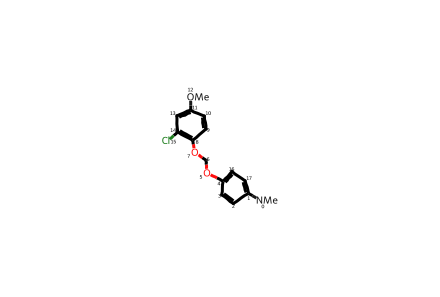 CNc1ccc(OCOc2ccc(OC)cc2Cl)cc1